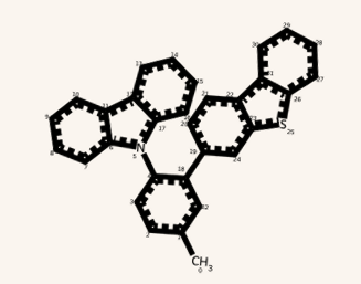 Cc1ccc(-n2c3ccccc3c3ccccc32)c(-c2ccc3c(c2)sc2ccccc23)c1